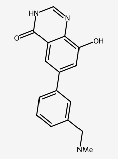 CNCc1cccc(-c2cc(O)c3nc[nH]c(=O)c3c2)c1